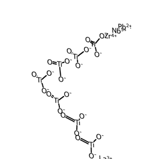 [La+3].[Nb+5].[O]=[Ti]([O-])[O-].[O]=[Ti]([O-])[O-].[O]=[Ti]([O-])[O-].[O]=[Ti]([O-])[O-].[O]=[Ti]([O-])[O-].[O]=[Ti]([O-])[O-].[O]=[Ti]([O-])[O-].[Pb+2].[Zr+4]